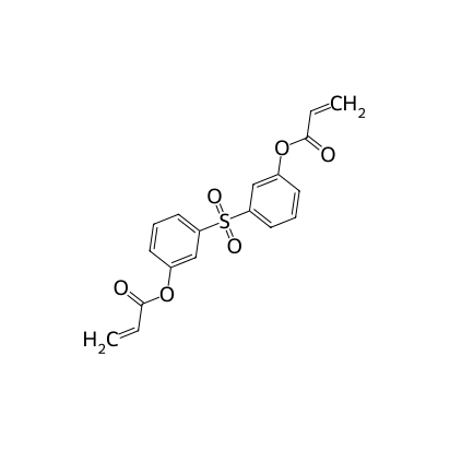 C=CC(=O)Oc1cccc(S(=O)(=O)c2cccc(OC(=O)C=C)c2)c1